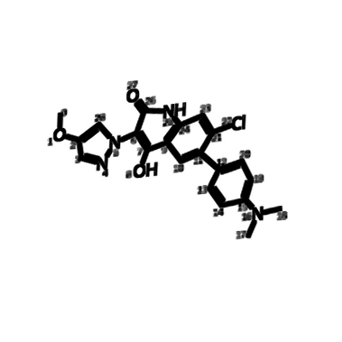 COc1cnn(-c2c(O)c3cc(-c4ccc(N(C)C)cc4)c(Cl)cc3[nH]c2=O)c1